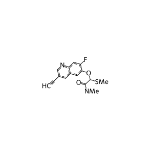 C#Cc1cnc2cc(F)c(OC(SC)C(=O)NC)cc2c1